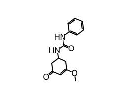 COC1=CC(=O)CC(NC(=O)Nc2ccccc2)C1